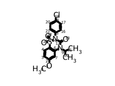 COc1ccc2c(c1)N(C(C)C)C(=O)N(c1ccc(Cl)cc1)S2(=O)=O